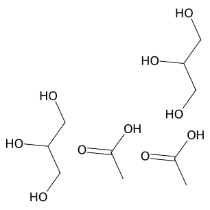 CC(=O)O.CC(=O)O.OCC(O)CO.OCC(O)CO